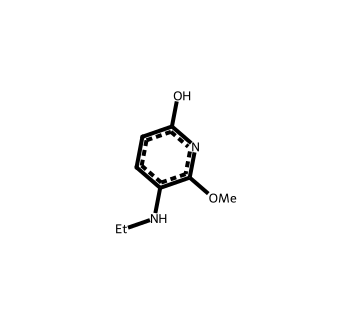 CCNc1ccc(O)nc1OC